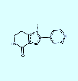 Cn1c(-c2ccncc2)cc2c1CCNC2=O